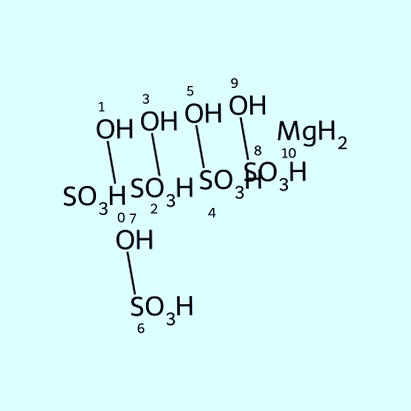 O=S(=O)(O)O.O=S(=O)(O)O.O=S(=O)(O)O.O=S(=O)(O)O.O=S(=O)(O)O.[MgH2]